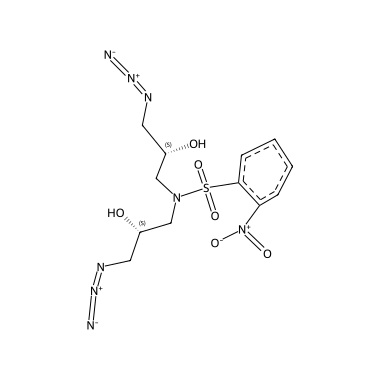 [N-]=[N+]=NC[C@H](O)CN(C[C@@H](O)CN=[N+]=[N-])S(=O)(=O)c1ccccc1[N+](=O)[O-]